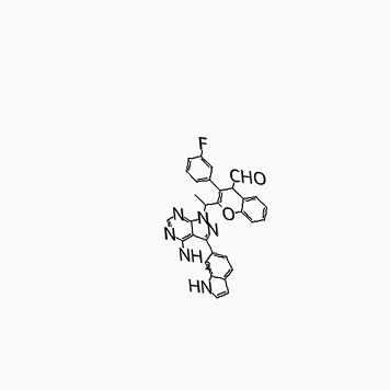 CC(C1=C(c2cccc(F)c2)C(C=O)c2ccccc2O1)n1nc(-c2ccc3cc[nH]c3c2)c2c(N)ncnc21